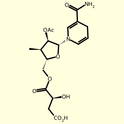 CC(=O)O[C@@H]1[C@H](C)[C@@H](COC(=O)[C@@H](O)CC(=O)O)O[C@H]1N1C=CCC(C(N)=O)=C1